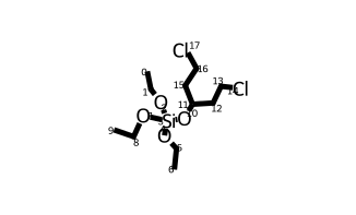 CCO[Si](OCC)(OCC)OC(CCCl)CCCl